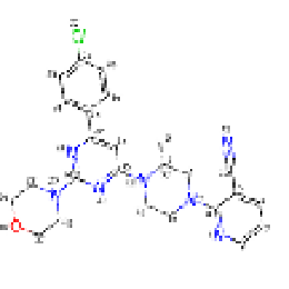 C[C@@H]1CN(c2ncccc2C#N)CCN1c1cc(-c2ccc(Cl)cc2)nc(N2CCOCC2)n1